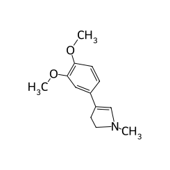 COc1ccc(C2=CN(C)CC2)cc1OC